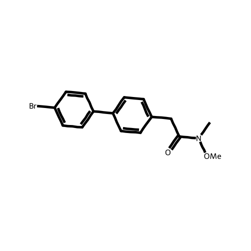 CON(C)C(=O)Cc1ccc(-c2ccc(Br)cc2)cc1